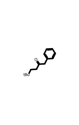 CC(C)(C)CCC(=O)Cc1ccccc1